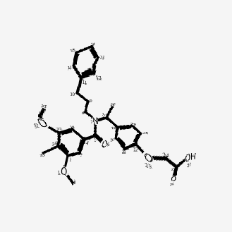 COc1cc(C(=O)N(CCCc2ccccc2)C(C)c2ccc(OCC(=O)O)cc2)cc(OC)c1C